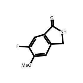 COc1cc2c(cc1F)C(=O)NC2